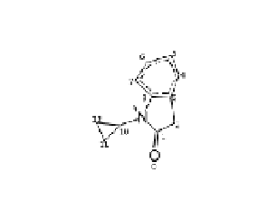 O=C1Cc2ccccc2N1C1CC1